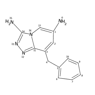 Nc1cc(Cc2ccccc2)c2nnc(N)n2c1